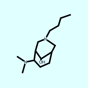 CCCCN1CC2CCC(N(C)C)C(C1)C2O